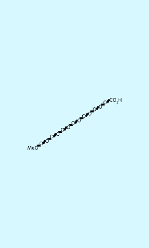 COCCOCCOCCOCCOCCOCCOCCOCCOCCOCCOCCOCCOCCOCCC(=O)O